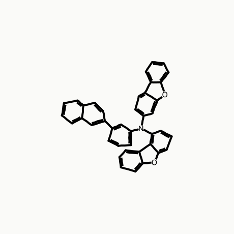 c1cc(-c2ccc3ccccc3c2)cc(N(c2ccc3c(c2)oc2ccccc23)c2cccc3oc4ccccc4c23)c1